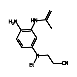 C=C(C)Nc1cc(N(CC)CCC#N)ccc1N